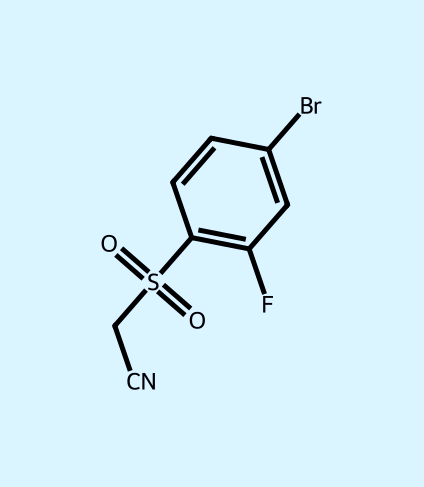 N#CCS(=O)(=O)c1ccc(Br)cc1F